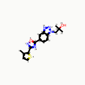 Cc1ccsc1-c1noc(-c2ccc3c(c2)nnn3CC(C)(C)O)n1